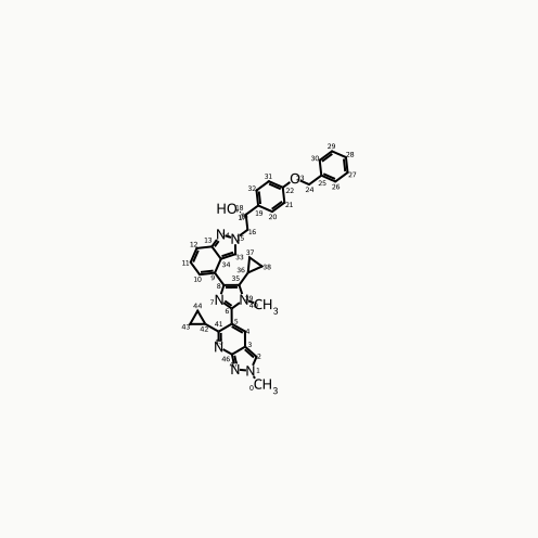 Cn1cc2cc(-c3nc(-c4cccc5nn(C[C@H](O)c6ccc(OCc7ccccc7)cc6)cc45)c(C4CC4)n3C)c(C3CC3)nc2n1